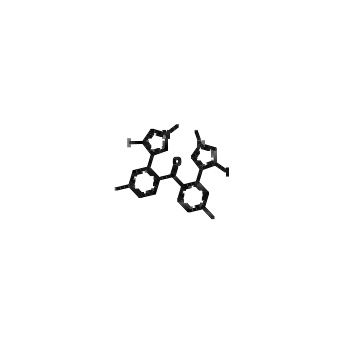 Cc1ccc(C(=O)c2ccc(C)cc2-c2cn(C)cc2I)c(-c2cn(C)cc2I)c1